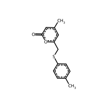 Cc1ccc(SCc2cc(C)cc(=O)o2)cc1